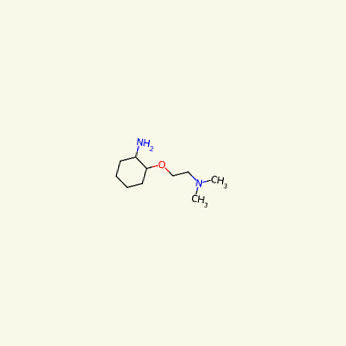 CN(C)CCOC1CCCCC1N